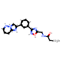 CCOC(=O)CC(=O)NCc1nc(-c2cccc(-c3cn4ncccc4n3)c2)no1